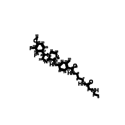 CCNCC(=O)NCCCNC(=O)c1ccc(NC2=NC=CN3C2=NCC3c2ccc(OC)c(F)c2F)cc1C